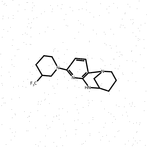 FC(F)(F)C1CCCN(c2ccc3c(n2)NC2CCCN3C2)C1